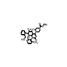 Cc1ccnc(C(C)C)c1-n1c(=O)nc(N2CCN(C(=O)OC(C)(C)C)C[C@@H]2C)c2cc(F)c(-c3ccccc3CO)nc21